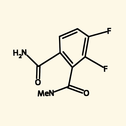 CNC(=O)c1c(C(N)=O)ccc(F)c1F